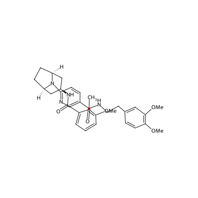 COc1ccc(CCNC(=O)c2ccc(N3[C@@H]4CC[C@H]3C[C@@H](NC(=O)c3cccc(OC)c3C)C4)nc2)cc1OC